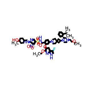 CCOc1nc2[nH]cc(F)c2cc1Oc1cc(N2CCC3(CC2)CC(N2CCN(CCOC)C[C@H]2c2ccccc2C(C)C)C3)ccc1C(=O)NS(=O)(=O)c1cnc(NCC2CCC(C)(O)CC2)c([N+](=O)[O-])c1